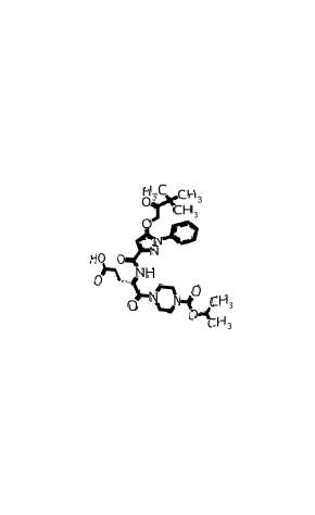 CC(C)OC(=O)N1CCN(C(=O)[C@H](CCC(=O)O)NC(=O)c2cc(OCC(=O)C(C)(C)C)n(-c3ccccc3)n2)CC1